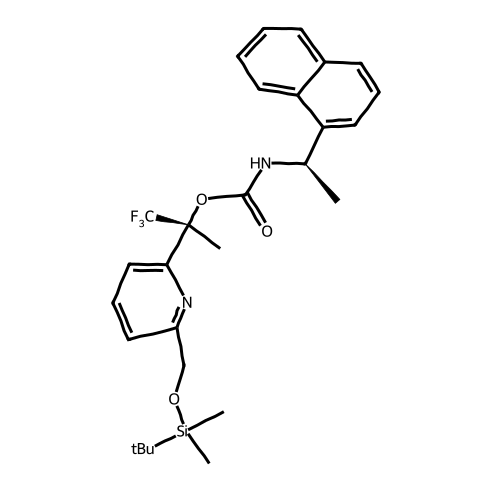 C[C@@H](NC(=O)O[C@](C)(c1cccc(CO[Si](C)(C)C(C)(C)C)n1)C(F)(F)F)c1cccc2ccccc12